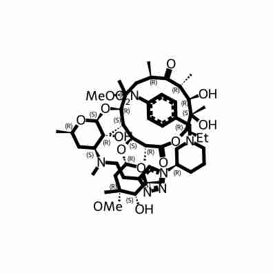 CC[C@H]1OC(=O)[C@H](C)[C@@H](O[C@H]2C[C@@](C)(OC)[C@@H](O)[C@H](C)O2)[C@H](C)[C@@H](O[C@@H]2O[C@H](C)C[C@H](N(C)CCc3cn([C@@H]4CCCN(Cc5ccc([N+](=O)[O-])cc5)C4)nn3)[C@H]2O)[C@](C)(OC)C[C@@H](C)C(=O)[C@H](C)[C@@H](O)[C@]1(C)O